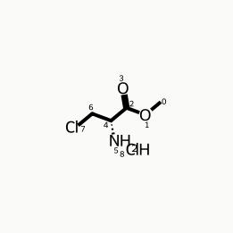 COC(=O)[C@H](N)CCl.Cl